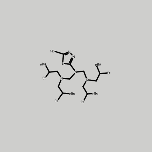 CCCCC(CC)CN(CC(CC)CCCC)CN(CN(CC(CC)CCCC)CC(CC)CCCC)c1nnc(S)s1